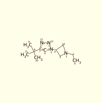 CCN1CC(n2cc(C(C)(C)C)nn2)C1